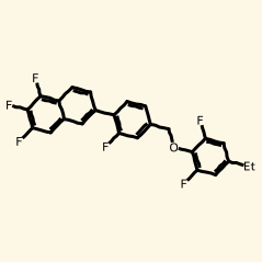 CCc1cc(F)c(OCc2ccc(-c3ccc4c(F)c(F)c(F)cc4c3)c(F)c2)c(F)c1